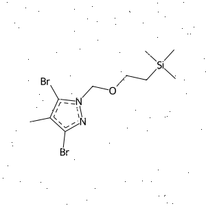 Cc1c(Br)nn(COCC[Si](C)(C)C)c1Br